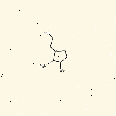 CC(C)C1CCN(CCO)C1C